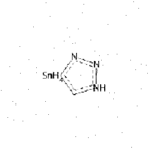 [SnH4].c1c[nH]nn1